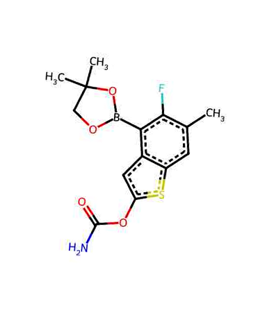 Cc1cc2sc(OC(N)=O)cc2c(B2OCC(C)(C)O2)c1F